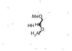 COCC[O][AlH2].[HH].[HH]